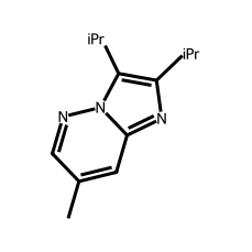 Cc1cnn2c(C(C)C)c(C(C)C)nc2c1